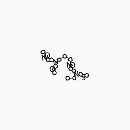 c1ccc(-c2cccc(N(c3ccc4c(ccc5nc(-c6cccc(-c7cccc(-c8ccc(N(c9ccc%10c(ccc%11nc(-c%12ccccc%12)oc%11%10)c9)c9ccc%10c(c9)oc9ccccc9%10)cc8)c7)c6)oc54)c3)c3ccc4c(c3)sc3ccccc34)c2)cc1